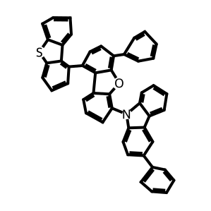 c1ccc(-c2ccc3c(c2)c2ccccc2n3-c2cccc3c2oc2c(-c4ccccc4)ccc(-c4cccc5sc6ccccc6c45)c23)cc1